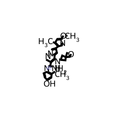 CCc1cc(O)ccc1/N=C(\N)c1cnn2cc(-c3cnc(OC)cc3C)cc2c1NC1CC2(COC2)C1